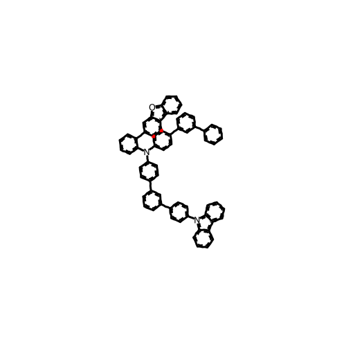 c1ccc(-c2cccc(-c3ccc(N(c4ccc(-c5cccc(-c6ccc(-n7c8ccccc8c8ccccc87)cc6)c5)cc4)c4ccccc4-c4ccc5c(c4)oc4ccccc45)cc3)c2)cc1